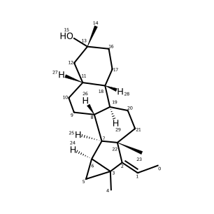 C/C=C1/C2(C)C[C@H]2[C@H]2[C@@H]3CC[C@@H]4C[C@](C)(O)CC[C@@H]4[C@H]3CC[C@]12C